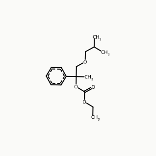 CCOC(=O)OC(C)(COCC(C)C)c1ccccc1